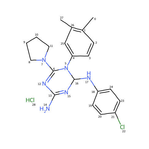 Cc1ccc(N2C(N3CCCC3)=NC(N)=NC2Nc2ccc(Cl)cc2)cc1C.Cl